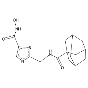 O=C(NO)c1cnc(CNC(=O)C23CC4CC(CC(C4)C2)C3)s1